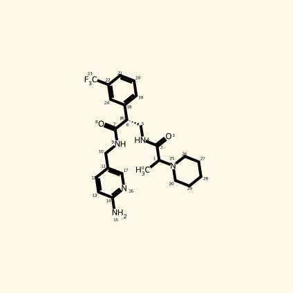 CC(C(=O)NC[C@H](C(=O)NCc1ccc(N)nc1)c1cccc(C(F)(F)F)c1)N1CCCCC1